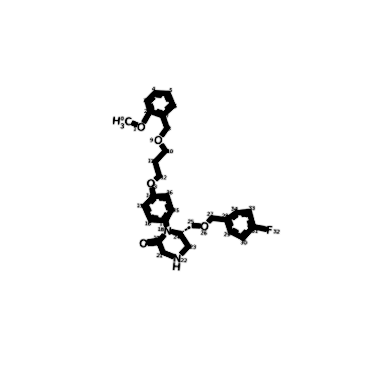 COc1ccccc1COCCCOc1ccc(N2C(=O)CNC[C@H]2COCc2ccc(F)cc2)cc1